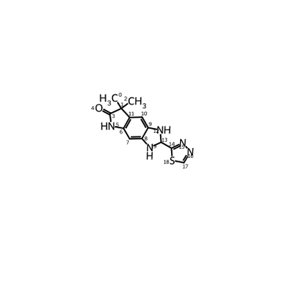 CC1(C)C(=O)Nc2cc3c(cc21)NC(c1nncs1)N3